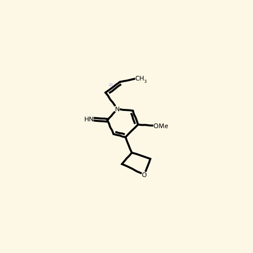 C/C=C\n1cc(OC)c(C2COC2)cc1=N